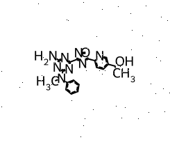 CC(O)c1ccc(-c2nc(-c3nc(N)nc(N(C)c4ccccc4)n3)no2)nc1